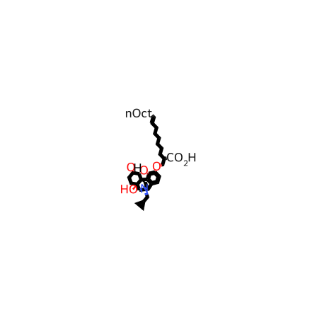 CCCCCCCC/C=C/CCCCCCC(COc1ccc2c3c1O[C@H]1C(=O)CC[C@@]4(O)C(C2)N(CC2CC2)CC[C@]314)C(=O)O